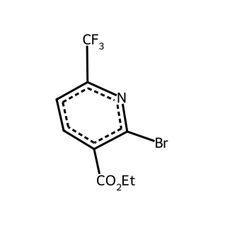 CCOC(=O)c1ccc(C(F)(F)F)nc1Br